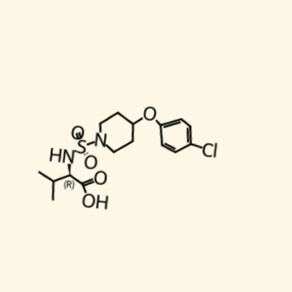 CC(C)[C@@H](NS(=O)(=O)N1CCC(Oc2ccc(Cl)cc2)CC1)C(=O)O